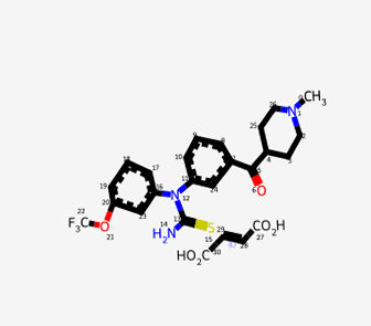 CN1CCC(C(=O)c2cccc(N(C(N)=S)c3cccc(OC(F)(F)F)c3)c2)CC1.O=C(O)/C=C/C(=O)O